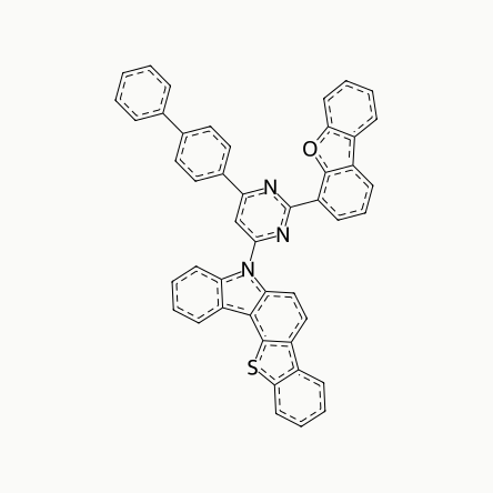 c1ccc(-c2ccc(-c3cc(-n4c5ccccc5c5c6sc7ccccc7c6ccc54)nc(-c4cccc5c4oc4ccccc45)n3)cc2)cc1